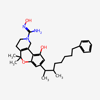 CC(CCCCCc1ccccc1)C(C)c1cc(O)c2c(c1)OC(C)(C)C1=C2CN(C(N)=NO)CC1